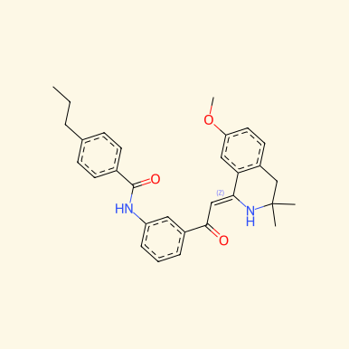 CCCc1ccc(C(=O)Nc2cccc(C(=O)/C=C3\NC(C)(C)Cc4ccc(OC)cc43)c2)cc1